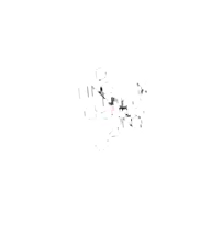 CCOc1ccc(C(C)(C)C#N)cc1C1=N[C@H](c2ccc(Cl)cc2)[C@@H](c2ccc(Cl)cc2)N1C(=O)N1CCN(CC(=O)NC(C)COC)CC1